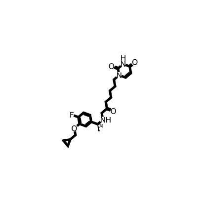 C[C@H](NCC(=O)CCCCCn1ccc(=O)[nH]c1=O)c1ccc(F)c(OCC2CC2)c1